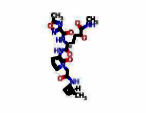 CNC(=O)C(=O)CC[C@H](NC(=O)c1noc(C)n1)C(=O)Nc1cccn(CC(=O)NC23CC(C2)[C@@H]3C)c1=O